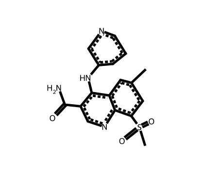 Cc1cc(S(C)(=O)=O)c2ncc(C(N)=O)c(Nc3cccnc3)c2c1